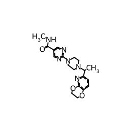 CNC(=O)c1cnc(N2CCN(C(C)c3ccc4c(n3)OCCO4)CC2)nc1